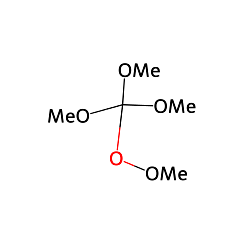 COOC(OC)(OC)OC